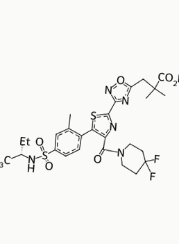 CC[C@H](NS(=O)(=O)c1ccc(-c2sc(-c3noc(CC(C)(C)C(=O)O)n3)nc2C(=O)N2CCC(F)(F)CC2)c(C)c1)C(F)(F)F